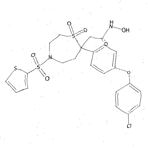 O=C(CC1(c2ccc(Oc3ccc(Cl)cc3)cc2)CCN(S(=O)(=O)c2cccs2)CCS1(=O)=O)NO